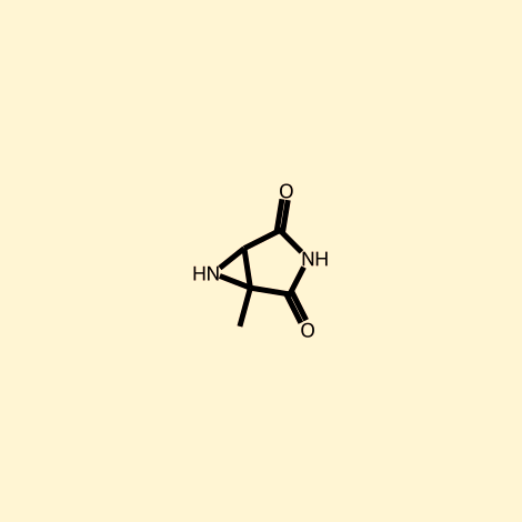 CC12NC1C(=O)NC2=O